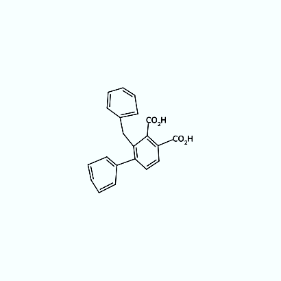 O=C(O)c1ccc(-c2ccccc2)c(Cc2ccccc2)c1C(=O)O